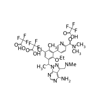 CCOc1c(C(C)n2nc(CNC)c3c(N)ncnc32)cc(Cl)c(C)c1-c1ccc(C(=O)N(C)C)nc1.O=C(O)C(F)(F)F.O=C(O)C(F)(F)F.O=C(O)C(F)(F)F